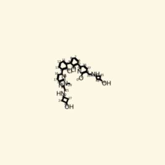 COc1nc(-c2cccc(-c3cccc(-c4ccc5nc(CNC6CC(O)C6)n(C)c5n4)c3Cl)c2Cl)ccc1CNC1CC(O)C1